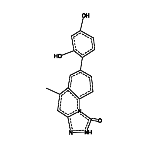 Cc1cc2n[nH]c(=O)n2c2ccc(-c3ccc(O)cc3O)cc12